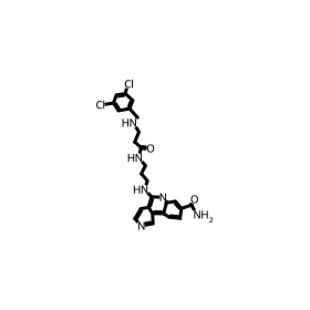 NC(=O)c1ccc2c(c1)nc(NCCCNC(=O)CCNCc1cc(Cl)cc(Cl)c1)c1ccncc12